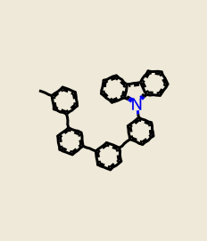 Cc1cccc(-c2cccc(-c3cccc(-c4cccc(-n5c6ccccc6c6ccccc65)c4)c3)c2)c1